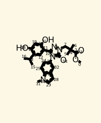 COC(=O)C(C)(C)Cn1nc(-c2cc(C(C)C)c(O)cc2O)n(-c2ccc3c(ccn3C)c2)c1=O